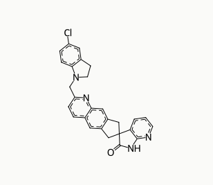 O=C1Nc2ncccc2C12Cc1cc3ccc(CN4CCc5cc(Cl)ccc54)nc3cc1C2